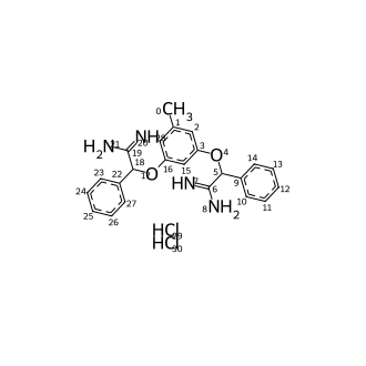 Cc1cc(OC(C(=N)N)c2ccccc2)cc(OC(C(=N)N)c2ccccc2)c1.Cl.Cl